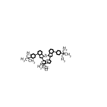 Cc1ccc(C2=Cc3c(-c4ccc(C(C)(C)C)cc4)cccc3[CH]2[Zr+2][CH]2C(c3ccc(C)s3)=Cc3c(-c4ccc(C(C)(C)C)cc4)cccc32)s1.[Cl-].[Cl-]